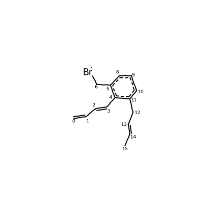 C=C/C=C/c1c(CBr)cccc1C/C=C/C